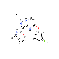 Cc1cc(Oc2cccc(F)c2)nc2c(C(=O)NC(C)C3CC3)ncn12